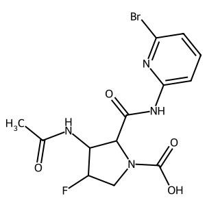 CC(=O)NC1C(F)CN(C(=O)O)C1C(=O)Nc1cccc(Br)n1